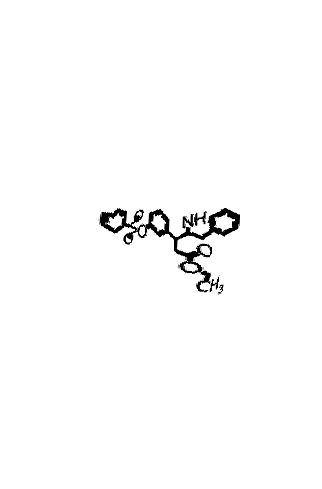 CCOC(=O)CC(c1cccc(OS(=O)(=O)c2ccccc2)c1)C(N)Cc1ccccc1